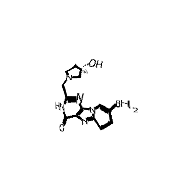 Bc1ccc2nc3c(=O)[nH]c(CN4CC[C@H](O)C4)nc3n2c1